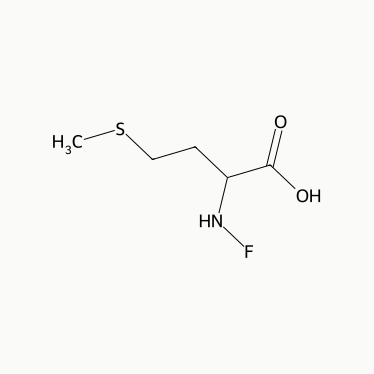 CSCCC(NF)C(=O)O